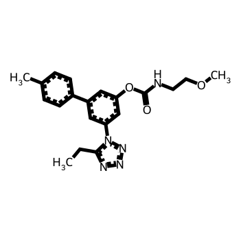 CCc1nnnn1-c1cc(OC(=O)NCCOC)cc(-c2ccc(C)cc2)c1